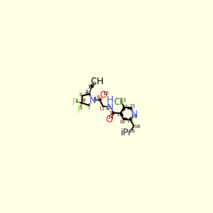 C#C[C@@H]1CC(F)(F)CN1C(=O)CNC(=O)c1cc(CC(C)C)ncc1Cl